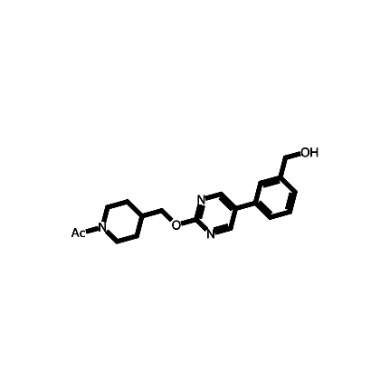 CC(=O)N1CCC(COc2ncc(-c3cccc(CO)c3)cn2)CC1